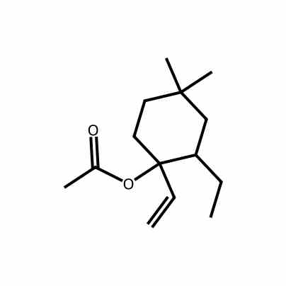 C=CC1(OC(C)=O)CCC(C)(C)CC1CC